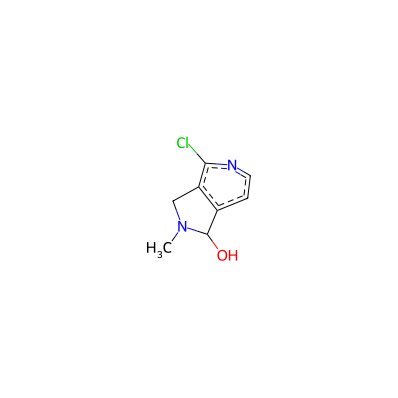 CN1Cc2c(ccnc2Cl)C1O